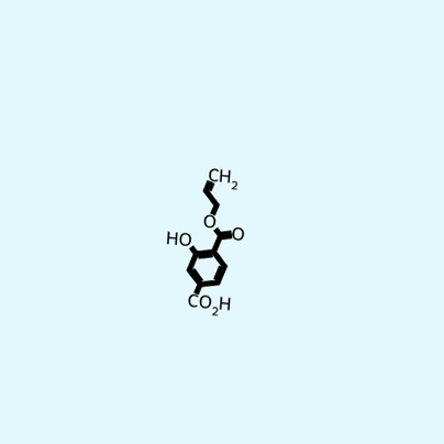 C=CCOC(=O)c1ccc(C(=O)O)cc1O